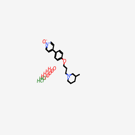 CC1CCCN(CCCOc2ccc(-c3cc[n+]([O-])cc3)cc2)C1.Cl.Cl.O.O.O.O